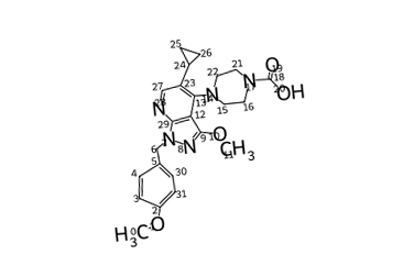 COc1ccc(Cn2nc(OC)c3c(N4CCN(C(=O)O)CC4)c(C4CC4)cnc32)cc1